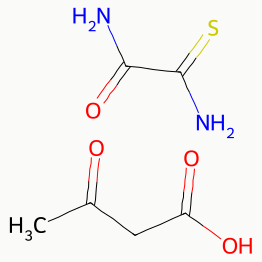 CC(=O)CC(=O)O.NC(=O)C(N)=S